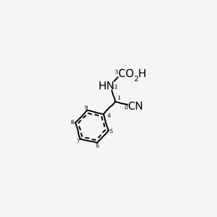 N#CC(NC(=O)O)c1ccccc1